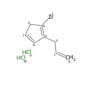 C=CCC1=[C]([Zr])CC=C1.Cl.Cl